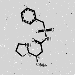 CO[C@H](CC(=O)NS(=O)(=O)Cc1ccccc1)[C@@H]1CCCN1